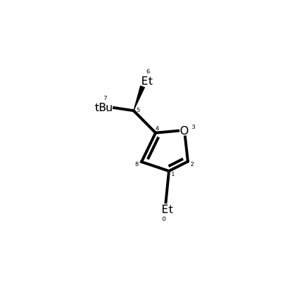 CCc1coc([C@H](CC)C(C)(C)C)c1